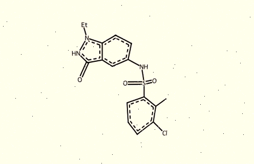 CCn1[nH]c(=O)c2cc(NS(=O)(=O)c3cccc(Cl)c3C)ccc21